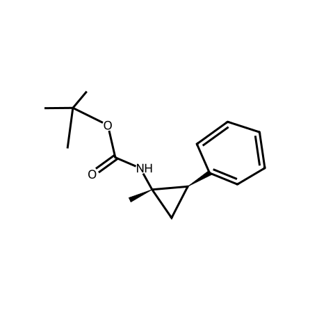 CC(C)(C)OC(=O)N[C@@]1(C)C[C@@H]1c1ccccc1